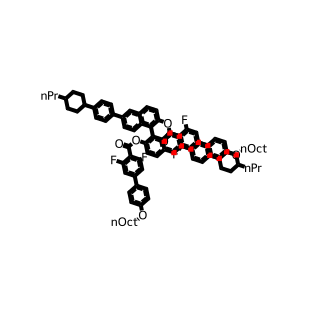 CCCCCCCCOc1ccc(-c2cc(F)c(C(=O)Oc3ccc4cc(-c5ccc(C6CCC(CCC)CC6)cc5)ccc4c3-c3c(OC(=O)c4c(F)cc(-c5ccc(OCCCCCCCC)cc5)cc4F)ccc4cc(-c5ccc(C6CCC(CCC)CC6)cc5)ccc34)c(F)c2)cc1